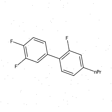 CCCc1ccc(-c2ccc(F)c(F)c2)c(F)c1